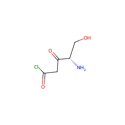 N[C@@H](CO)C(=O)CC(=O)Cl